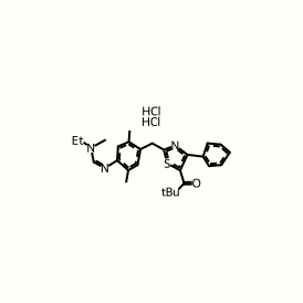 CCN(C)/C=N\c1cc(C)c(Cc2nc(-c3ccccc3)c(C(=O)C(C)(C)C)s2)cc1C.Cl.Cl